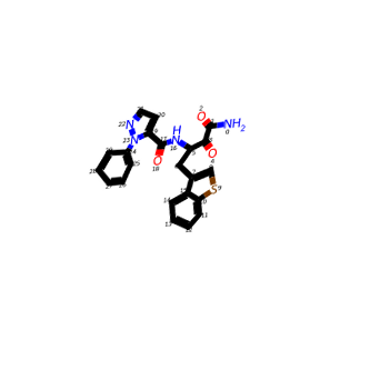 NC(=O)C(=O)C(Cc1csc2ccccc12)NC(=O)c1ccnn1-c1ccccc1